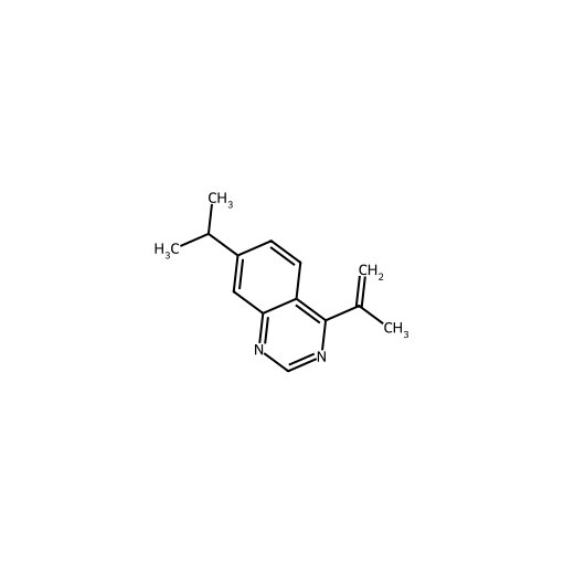 C=C(C)c1ncnc2cc(C(C)C)ccc12